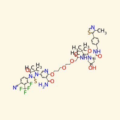 Cc1ncsc1-c1ccc(CNC(=O)[C@@H]2C[C@@H](O)CN2C(=O)[C@@H](NC(=O)COCCOCCCOc2ncc(N3C(=S)N(c4ccc(C#N)c(C(F)(F)F)c4F)C(=O)C3(C)C)cc2C(N)=O)C(C)(C)C)cc1